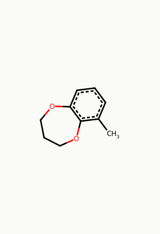 Cc1cccc2c1OCCCO2